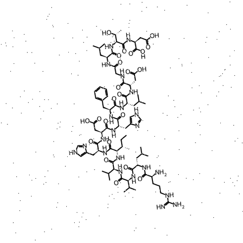 CC[C@H](C)[C@H](NC(=O)[C@@H](NC(=O)[C@@H](NC(=O)[C@H](CC(C)C)NC(=O)[C@@H](N)CCCNC(=N)N)C(C)C)C(C)C)C(=O)N[C@@H](Cc1c[nH]cn1)C(=O)N[C@@H](CC(=O)O)C(=O)N[C@@H](Cc1c[nH]cn1)C(=O)N[C@@H](Cc1ccccc1)C(=O)N[C@@H](CC(C)C)C(=O)N[C@@H](CC(=O)O)C(=O)NCC(=O)N[C@@H](CC(C)C)C(=O)N[C@H](C(=O)N[C@@H](CC(=O)O)C(=O)O)[C@@H](C)O